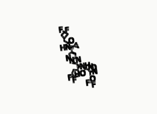 O=C(CC1CC(F)(F)C1)N[C@@H](c1cnn2cc([C@@H](NC(O)c3nonc3COC(F)F)C3CCC(F)(F)CC3)nc2c1)C1CC1